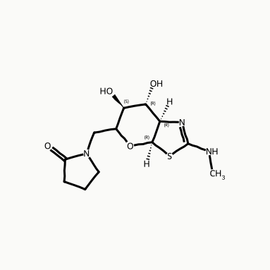 CNC1=N[C@@H]2[C@@H](O)[C@H](O)C(CN3CCCC3=O)O[C@@H]2S1